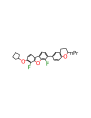 CCCC1CCc2cc(-c3ccc4c(oc5c(F)c(OC6CCCC6)ccc54)c3F)ccc2O1